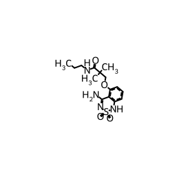 CCCNC(=O)C(C)(C)COc1cccc2c1C(N)=NS(=O)(=O)N2